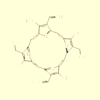 C=CC1=C(C)C2=CC3=NC(=CC4=NC(=CC5=NC(=CC1=N2)C(C)=C5CC)C(C)=C4C=C)C(C)=C3CC